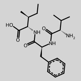 CC[C@H](C)[C@H](NC(=O)[C@H](Cc1ccccc1)NC(=O)[C@@H](N)C(C)C)C(=O)O